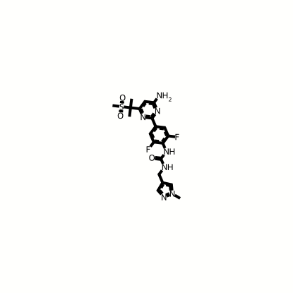 Cn1cc(CNC(=O)Nc2c(F)cc(-c3nc(N)cc(C(C)(C)S(C)(=O)=O)n3)cc2F)cn1